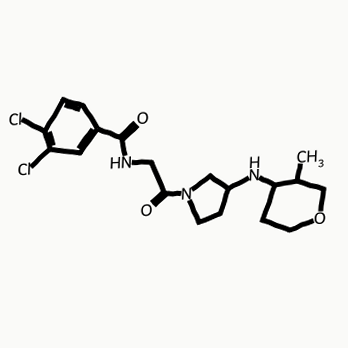 CC1COCCC1NC1CCN(C(=O)CNC(=O)c2ccc(Cl)c(Cl)c2)C1